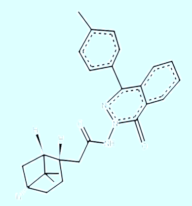 Cc1ccc(-c2nn(NC(=O)C[C@@H]3CC[C@H]4C[C@H]3C4(C)C)c(=O)c3ccccc23)cc1